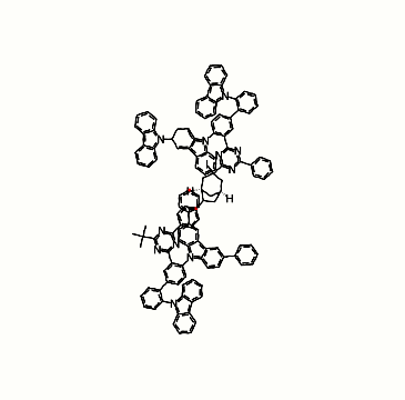 CC(C)(C)c1nc(-c2ccc(C3C[C@H]4C[C@@H]3CC(I)(c3nc(-c5ccccc5)nc(-c5cc(-c6ccccc6-n6c7ccccc7c7ccccc76)ccc5-n5c6c(c7ccccc75)=CC(n5c7ccccc7c7ccccc75)CC=6)n3)C4)cc2)nc(-c2cc(-c3ccccc3-n3c4ccccc4c4ccccc43)ccc2-n2c3ccc(-c4ccccc4)cc3c3cc(-c4ccccc4)ccc32)n1